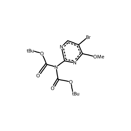 COc1nc(N(C(=O)OC(C)(C)C)C(=O)OC(C)(C)C)ncc1Br